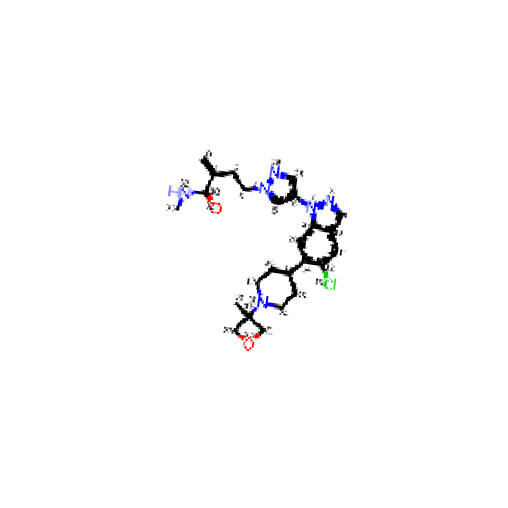 C=C(CCn1cc(-n2ncc3cc(Cl)c(C4CCN(C5(C)COC5)CC4)cc32)cn1)C(=O)NC